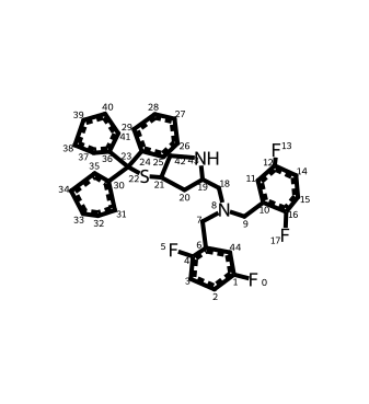 Fc1ccc(F)c(CN(Cc2cc(F)ccc2F)CC2CC(SC(c3ccccc3)(c3ccccc3)c3ccccc3)CN2)c1